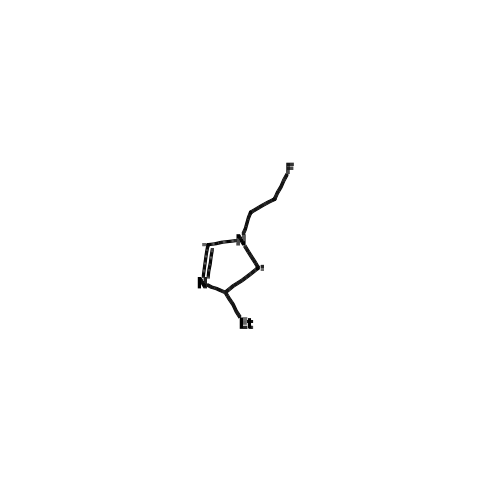 CCC1[C]N(CCF)[C]=N1